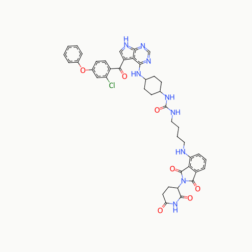 O=C1CCC(N2C(=O)c3cccc(NCCCCNC(=O)NC4CCC(Nc5ncnc6[nH]cc(C(=O)c7ccc(Oc8ccccc8)cc7Cl)c56)CC4)c3C2=O)C(=O)N1